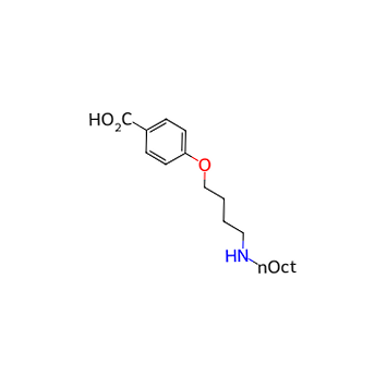 CCCCCCCCNCCCCOc1ccc(C(=O)O)cc1